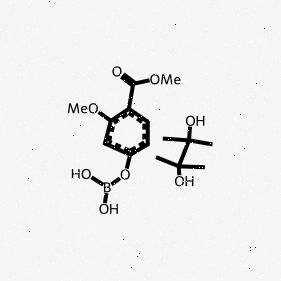 CC(C)(O)C(C)(C)O.COC(=O)c1ccc(OB(O)O)cc1OC